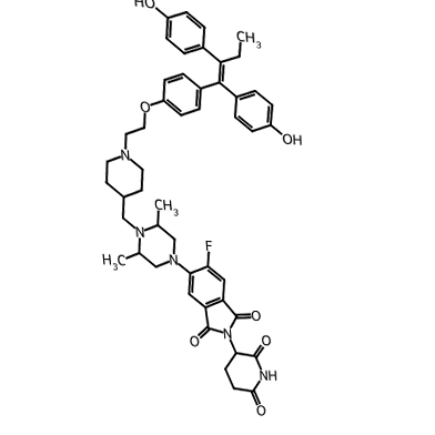 CCC(=C(c1ccc(O)cc1)c1ccc(OCCN2CCC(CN3C(C)CN(c4cc5c(cc4F)C(=O)N(C4CCC(=O)NC4=O)C5=O)CC3C)CC2)cc1)c1ccc(O)cc1